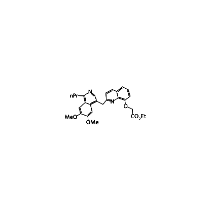 CCCc1ncc(Cc2ccc3cccc(OCC(=O)OCC)c3n2)c2cc(OC)c(OC)cc12